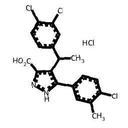 Cc1cc(-c2[nH]nc(C(=O)O)c2C(C)c2ccc(Cl)c(Cl)c2)ccc1Cl.Cl